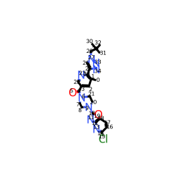 Cc1cc(C(=O)N2CCN(c3nc4nc(Cl)ccc4o3)CC2)cnc1-c1cn(CC(C)(C)C)nn1